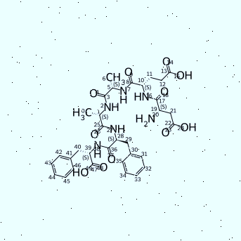 C[C@H](NC(=O)[C@H](C)NC(=O)[C@H](CCC(=O)O)NC(=O)[C@@H](N)CC(=O)O)C(=O)N[C@@H](Cc1ccccc1)C(=O)N[C@@H](Cc1ccccc1)C(=O)O